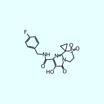 O=C(NCc1ccc(F)cc1)c1nc2n(c(=O)c1O)CCS(=O)(=O)C21CC1